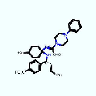 CC(C)(C)CC[C@@H](NC1(/N=C(\C=O)N2CCN(c3ccccc3)CC2)CCC(C(C)(C)C)CC1)c1ccc(C(=O)O)cc1